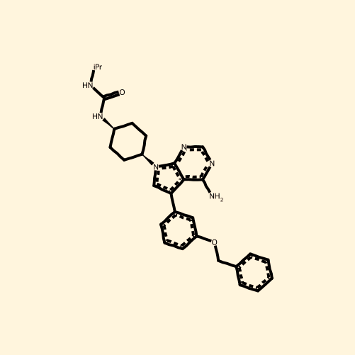 CC(C)NC(=O)N[C@H]1CC[C@@H](n2cc(-c3cccc(OCc4ccccc4)c3)c3c(N)ncnc32)CC1